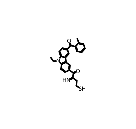 CCn1c2ccc(C(=O)C(=N)CCS)cc2c2cc(C(=O)c3ccccc3C)ccc21